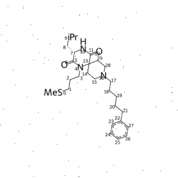 CSCCCN1C(=O)[C@H](CC(C)C)NC(=O)C12CCN(CCCCCc1ccccc1)CC2